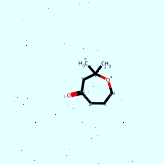 CC1(C)CC(=O)CCCO1